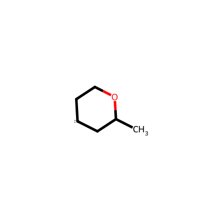 CC1C[C]CCO1